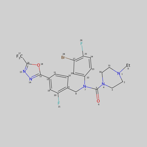 CCN1CCN(C(=O)N(Cc2ccc(-c3nnc(C(F)(F)F)o3)cc2F)c2ccc(F)c(Br)c2)CC1